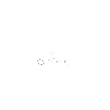 NC(=O)CNC(=O)C1(NC(=O)Cc2ccccc2)CCNCC1